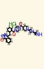 Cl.O=C(c1c(F)cccc1Cc1n[nH]c(=O)c2ccccc12)N1CCN(C(=O)C2CCN(C3CN(C4CNC4)C3)CC2)CC1